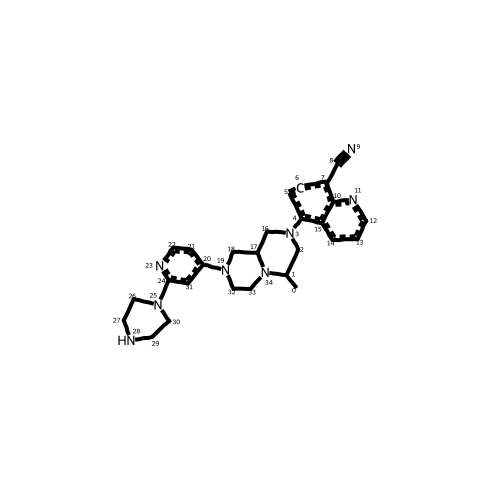 CC1CN(c2ccc(C#N)c3ncccc23)CC2CN(c3ccnc(N4CCNCC4)c3)CCN12